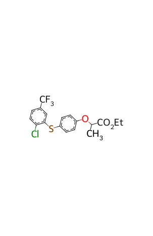 CCOC(=O)C(C)Oc1ccc(Sc2cc(C(F)(F)F)ccc2Cl)cc1